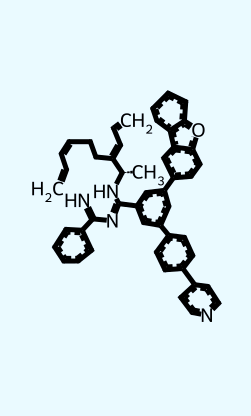 C=C/C=C\CC/C(=C\C=C)[C@H](C)N/C(=N\C(=N)c1ccccc1)c1cc(-c2ccc(-c3ccncc3)cc2)cc(-c2ccc3oc4ccccc4c3c2)c1